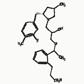 Cc1ccc(C[C@@H]2CC(C)CN2CC(O)COC(C)c2ccccc2CCC(=O)O)cc1F